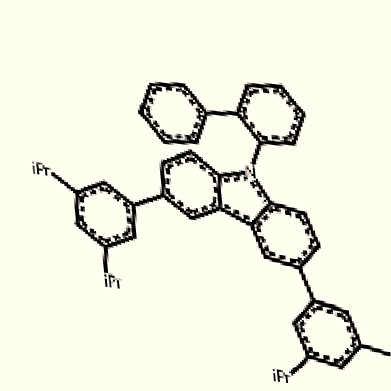 CC(C)c1cc(-c2ccc3c(c2)c2cc(-c4cc(C(C)C)cc(C(C)C)c4)ccc2n3-c2ccccc2-c2ccccc2)cc(C(C)C)c1